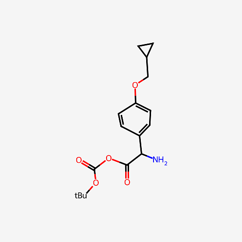 CC(C)(C)OC(=O)OC(=O)C(N)c1ccc(OCC2CC2)cc1